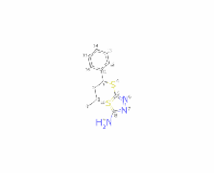 CCCC(Sc1nnc(N)s1)c1ccccc1